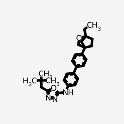 CCC12CCC(c3ccc(-c4ccc(Nc5nnc(CC(C)(C)C)o5)cc4)cc3)(CO1)C2